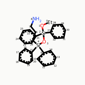 CCO[Si](O[Si](CCCN)(c1ccccc1)c1ccccc1)(c1ccccc1)c1ccccc1